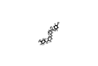 O=C(Nc1ccc(F)cc1)N1CCOC(CN2CCC(Cc3ccc(F)cc3)CC2)C1